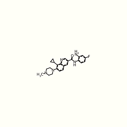 CN1CCN(c2ccc3cc(C(=O)Nc4ccc(F)cc4N)cnc3c2C2CC2)CC1